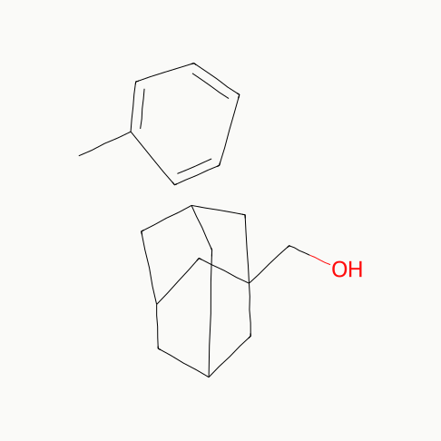 Cc1ccccc1.OCC12CC3CC(CC(C3)C1)C2